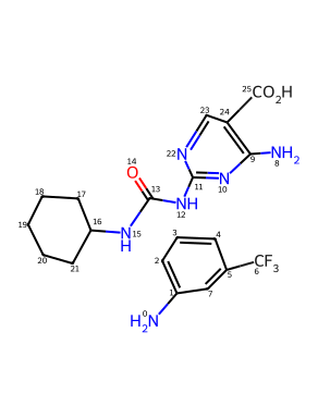 Nc1cccc(C(F)(F)F)c1.Nc1nc(NC(=O)NC2CCCCC2)ncc1C(=O)O